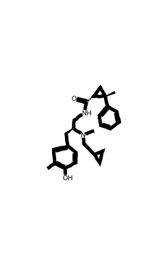 Cc1cc(C[C@@H](CNC(=O)[C@@H]2C[C@]2(C)c2ccccc2)N(C)CC2CC2)ccc1O